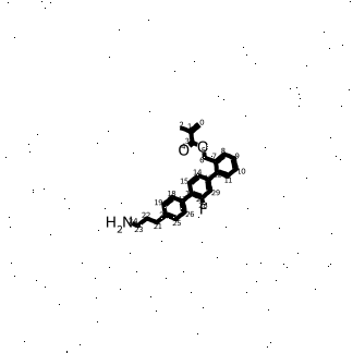 C=C(C)C(=O)OCc1ccccc1-c1ccc(-c2ccc(CCCN)cc2)c(F)c1